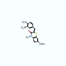 COc1ccc2c(c1)S/C(=C/c1ccc(OC(C)=O)c([N+](=O)[O-])c1)C(=O)N2C(C)=O